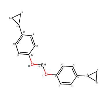 B(Oc1ccc(C2CC2)cc1)Oc1ccc(C2CC2)cc1